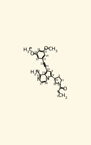 C=CC(=O)N1CC[C@H](c2cc(C#Cc3cc(OC)cc(OC)c3)c3c(N)nccn23)C1